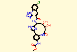 COC(=O)Nc1ccc2c(c1)NC(=O)C[C@H](O)C(O)CC(NC(=O)/C=C/c1cc(Cl)ccc1-n1cnnn1)c1nc-2c[nH]1